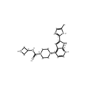 Cc1cnc(-c2cc3c(N4CCN(C(=O)OC5COC5)CC4)ccnc3[nH]2)s1